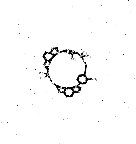 Cc1cc2ccc1CO[Si](C)(C)c1ccc(cc1C)-n1cnc3ccc4oc(nc4c31)[Si](C)(C)OCc1nc3c(ccc4ncn-2c43)o1